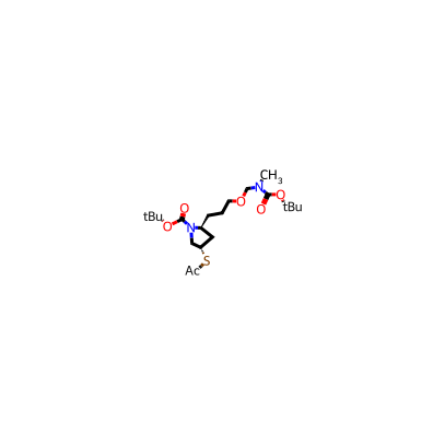 CC(=O)S[C@H]1C[C@H](CCCOCN(C)C(=O)OC(C)(C)C)N(C(=O)OC(C)(C)C)C1